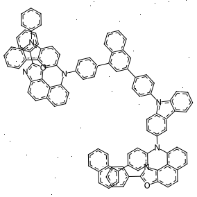 c1ccc(-c2nc3c(ccc4cccc(N(c5ccc(-c6cccc7ccccc67)cc5)c5ccc6c(c5)c5ccccc5n6-c5ccc(-c6cc(-c7ccc(N(c8ccc9c(c8)c8ccccc8n9-c8ccccc8)c8cccc9ccc%10nc(-c%11ccccc%11)oc%10c89)cc7)c7ccccc7c6)cc5)c43)o2)cc1